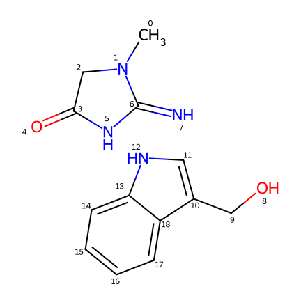 CN1CC(=O)NC1=N.OCc1c[nH]c2ccccc12